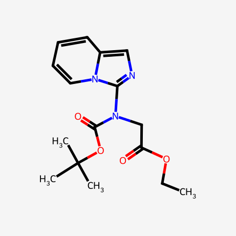 CCOC(=O)CN(C(=O)OC(C)(C)C)c1ncc2ccccn12